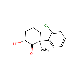 O=C1[C@H](O)CCC[C@@]1([AsH2])c1ccccc1Cl